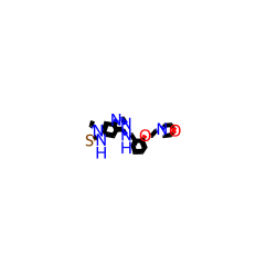 CCn1c(=S)[nH]c2cc3c(NCc4ccccc4OCCN4CCOCC4)ncnc3cc21